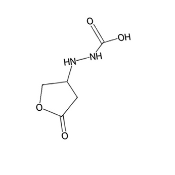 O=C(O)NNC1COC(=O)C1